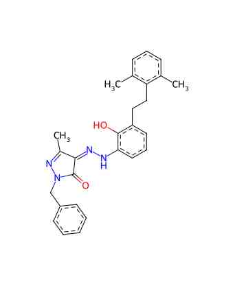 CC1=NN(Cc2ccccc2)C(=O)C1=NNc1cccc(CCc2c(C)cccc2C)c1O